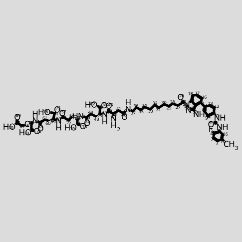 Cc1ccc(F)c(NC(=O)Nc2ccc(-c3cccc4c3c(N)nn4C(=O)CCCCCCCCCCCNC(=O)C[C@H](N)C(=O)N[C@@H](CCC(=O)N[C@@H](CCC(=O)N[C@@H](CCC(=O)N[C@@H](CCC(=O)O)C(=O)O)C(=O)O)C(=O)O)C(=O)O)cc2)c1